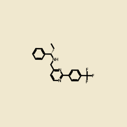 CC[C@H](NCc1ccnc(-c2ccc(C(F)(F)F)cc2)n1)c1ccccc1